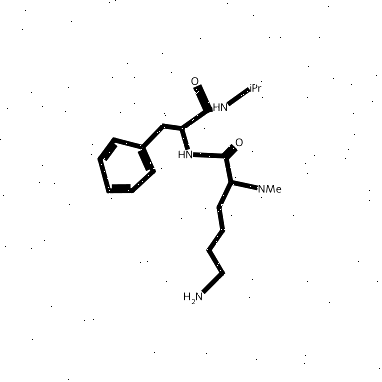 CNC(CCCCN)C(=O)NC(Cc1ccccc1)C(=O)NC(C)C